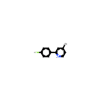 CCc1ccnc(-c2ccc(F)cc2)c1